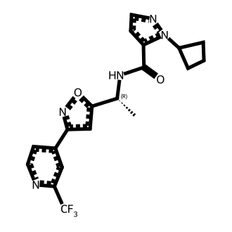 C[C@@H](NC(=O)c1ccnn1C1CCC1)c1cc(-c2ccnc(C(F)(F)F)c2)no1